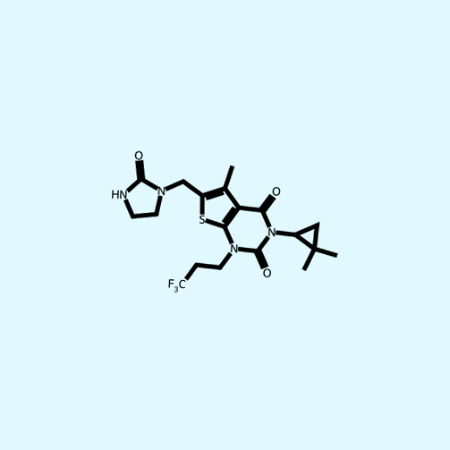 Cc1c(CN2CCNC2=O)sc2c1c(=O)n(C1CC1(C)C)c(=O)n2CCC(F)(F)F